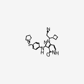 N#CCC(C1CCC1)n1nc(Nc2ccc(SN3CCCC3)cc2)c2c(=O)[nH]ccc21